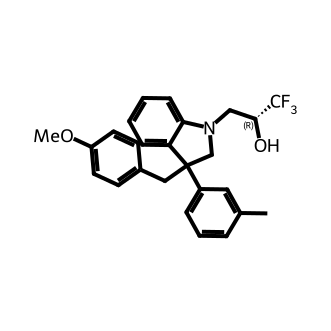 COc1ccc(CC2(c3cccc(C)c3)CN(C[C@@H](O)C(F)(F)F)c3ccccc32)cc1